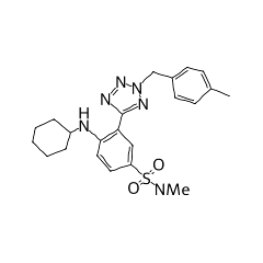 CNS(=O)(=O)c1ccc(NC2CCCCC2)c(-c2nnn(Cc3ccc(C)cc3)n2)c1